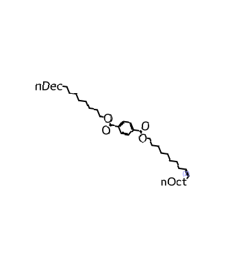 CCCCCCCC/C=C\CCCCCCCCOC(=O)c1ccc(C(=O)OCCCCCCCCCCCCCCCCCC)cc1